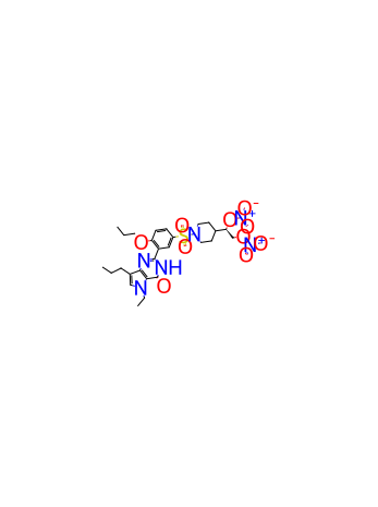 CCCOc1ccc(S(=O)(=O)N2CCC([C@H](CO[N+](=O)[O-])O[N+](=O)[O-])CC2)cc1-c1nc2c(CCC)cn(CC)c2c(=O)[nH]1